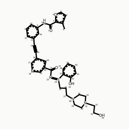 Cc1ccoc1C(=O)Nc1cccc(C#Cc2cncc(C(=O)N=S(CCCN3CCN(CCO)CC3)c3ccccc3O)c2)c1